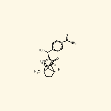 CC(c1ccc(C(N)=O)cc1)n1[nH]c2c(c1=O)[C@H]1CC[C@]2(C)C1(C)C